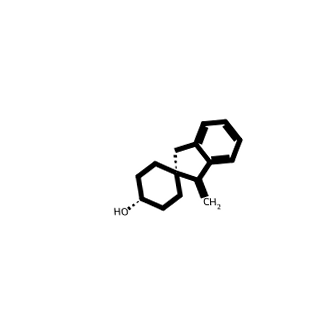 C=C1c2ccccc2C[C@]12CC[C@@H](O)CC2